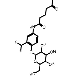 CC(=O)CCCC(=O)Nc1ccc(O[C@@H]2O[C@H](CO)[C@H](O)C(O)C2O)c(C(F)F)c1